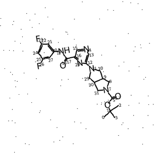 CC(C)(C)OC(=O)N1CC2CN(c3cncc(C(=O)Nc4cc(F)cc(F)c4)n3)CC2C1